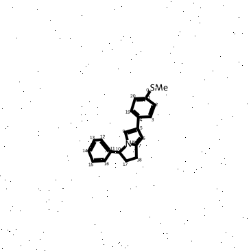 CSc1ccc(-c2cc3n(c2)C(c2ccccc2)CC3)cc1